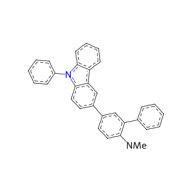 CNc1ccc(-c2ccc3c(c2)c2ccccc2n3-c2ccccc2)cc1-c1ccccc1